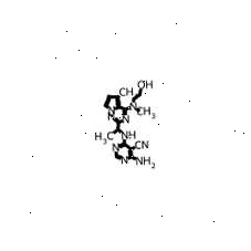 Cc1ccn2nc(C(C)Nc3ncnc(N)c3C#N)nc(N(C)CCO)c12